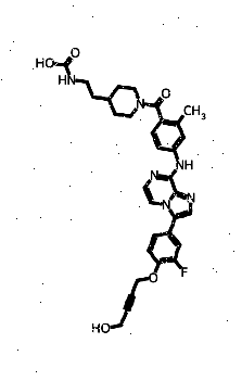 Cc1cc(Nc2nccn3c(-c4ccc(OCC#CCO)c(F)c4)cnc23)ccc1C(=O)N1CCC(CCNC(=O)O)CC1